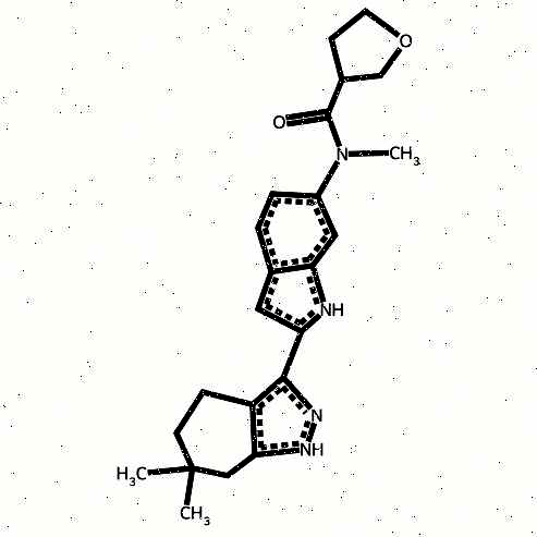 CN(C(=O)C1CCOC1)c1ccc2cc(-c3n[nH]c4c3CCC(C)(C)C4)[nH]c2c1